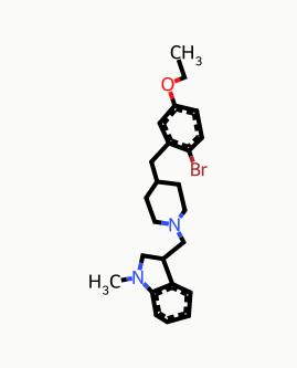 CCOc1ccc(Br)c(CC2CCN(CC3CN(C)c4ccccc43)CC2)c1